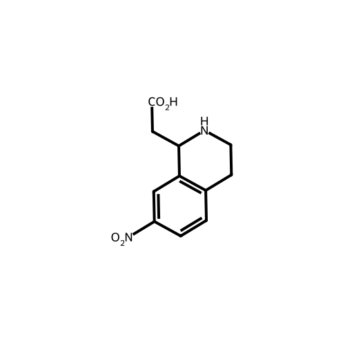 O=C(O)CC1NCCc2ccc([N+](=O)[O-])cc21